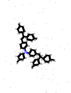 Cc1ccc(C(=Cc2ccc(N(c3ccc(C)cc3)c3ccc(C=C(c4ccc(C)cc4)c4ccc(C)cc4)cc3)cc2)c2ccc(C)cc2)cc1